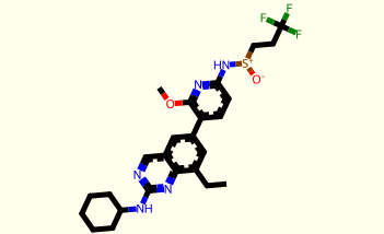 CCc1cc(-c2ccc(N[S+]([O-])CCC(F)(F)F)nc2OC)cc2cnc(NC3CCCCC3)nc12